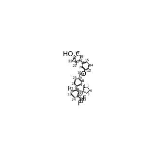 CC1(C)CCC[C@H]1c1cc(COc2cccc([C@H](CC(=O)O)C3(C)CC3)c2)ccc1-c1cc(C(F)F)ccc1F